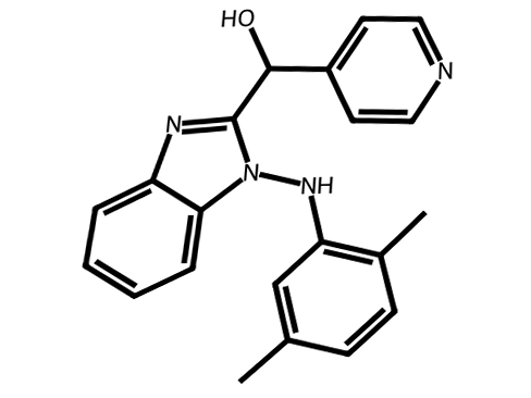 Cc1ccc(C)c(Nn2c(C(O)c3ccncc3)nc3ccccc32)c1